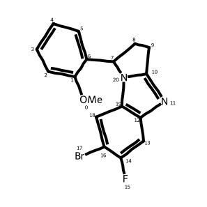 COc1ccccc1C1CCc2nc3cc(F)c(Br)cc3n21